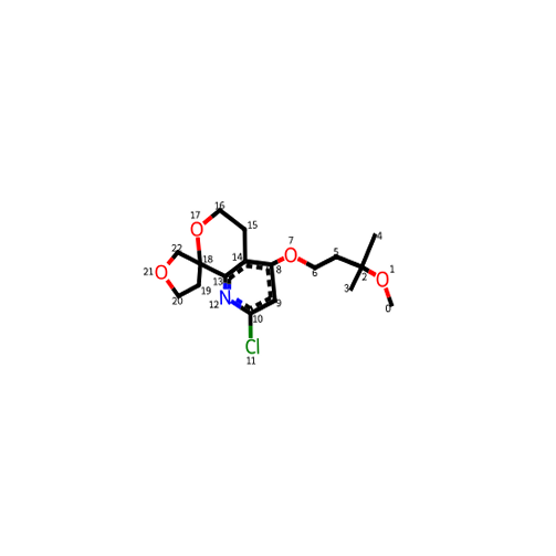 COC(C)(C)CCOc1cc(Cl)nc2c1CCOC21CCOC1